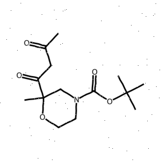 CC(=O)CC(=O)C1(C)CN(C(=O)OC(C)(C)C)CCO1